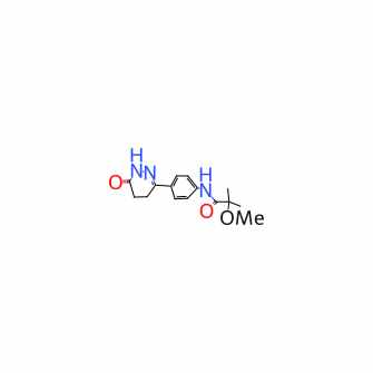 COC(C)(C)C(=O)Nc1ccc(C2=NNC(=O)CC2)cc1